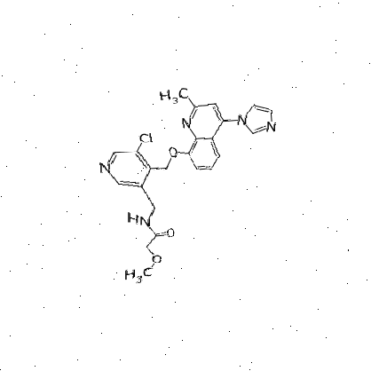 COCC(=O)NCc1cncc(Cl)c1COc1cccc2c(-n3ccnc3)cc(C)nc12